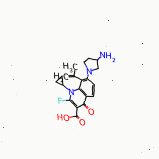 C=C(C)c1c(N2CCC(N)C2)ccc2c(=O)c(C(=O)O)c(F)n(C3CC3)c12